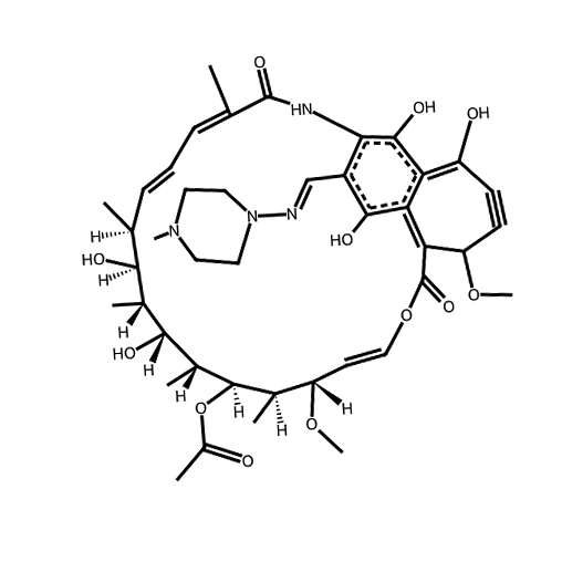 COC1C#CC(O)=c2c(O)c3c(/C=N/N4CCN(C)CC4)c(O)c2=C1C(=O)O/C=C/[C@H](OC)[C@@H](C)[C@@H](OC(C)=O)[C@H](C)[C@H](O)[C@H](C)[C@@H](O)[C@@H](C)/C=C/C=C(/C)C(=O)N3